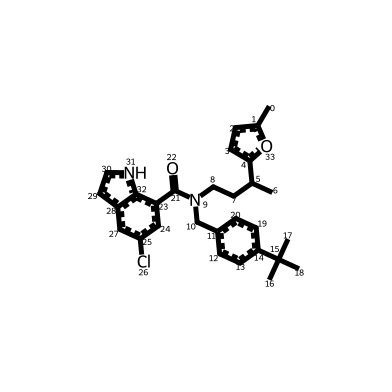 Cc1ccc(C(C)CCN(Cc2ccc(C(C)(C)C)cc2)C(=O)c2cc(Cl)cc3cc[nH]c23)o1